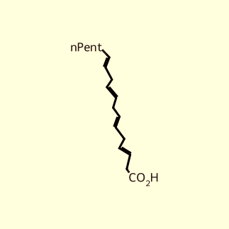 CCCCC/C=C/C/C=C/C/C=C/C/C=C/CC(=O)O